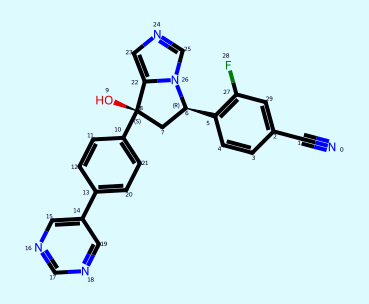 N#Cc1ccc([C@H]2C[C@](O)(c3ccc(-c4cncnc4)cc3)c3cncn32)c(F)c1